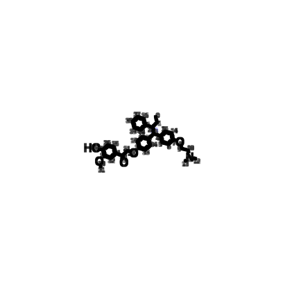 CC/C(=C(\c1ccc(OCCN(C)C)cc1)c1ccc(OCC(=O)c2ccc(O)c(OC)c2)cc1)c1ccccc1